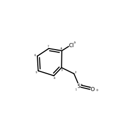 O=[S+]Cc1ccccc1Cl